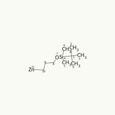 CC(C)(C)[Si](C)(C)OCC[CH2][Zn]